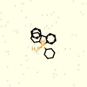 P[PH](c1ccccc1-c1ccccc1)(C1CCCCC1)C1CCCCC1